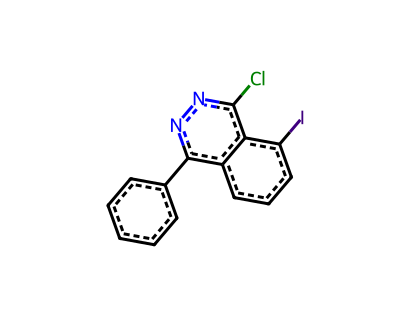 Clc1nnc(-c2ccccc2)c2cccc(I)c12